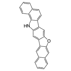 c1ccc2cc3c(cc2c1)oc1cc2c(cc13)[nH]c1c3ccccc3ccc21